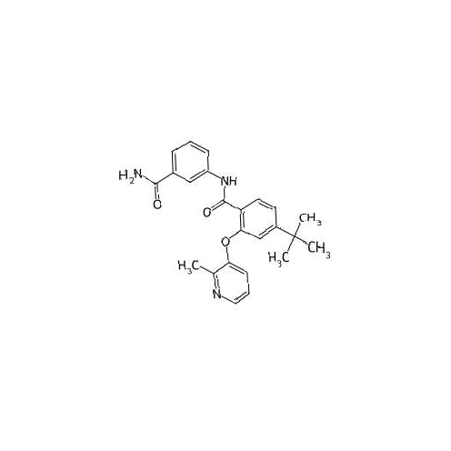 Cc1ncccc1Oc1cc(C(C)(C)C)ccc1C(=O)Nc1cccc(C(N)=O)c1